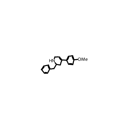 COc1ccc(C2=CCNC(Cc3ccccc3)C2)cc1